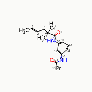 CC=CCC(C)(C)C(=O)Nc1cccc(NC(=O)C(C)C)c1